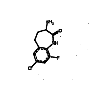 NC1CCc2cc(Cl)cc(F)c2NC1=O